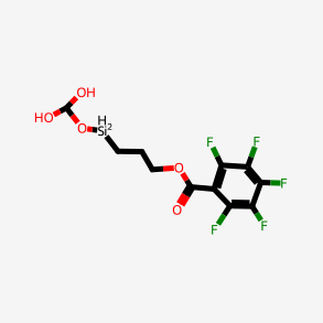 O=C(OCCC[SiH2]OC(O)O)c1c(F)c(F)c(F)c(F)c1F